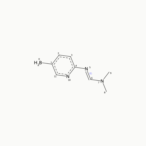 Bc1ccc(/N=C/N(C)C)nc1